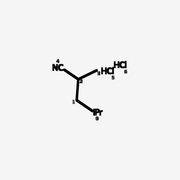 CC(C)CC(C)C#N.Cl.Cl